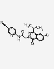 CC(C)c1nn(CC(=O)Nc2ccc(C#N)cn2)c(=O)c2ccc(Br)cc12